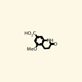 COc1cc(C(=O)O)cc2c1CCC(=O)N2